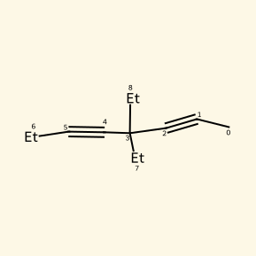 CC#CC(C#CCC)(CC)CC